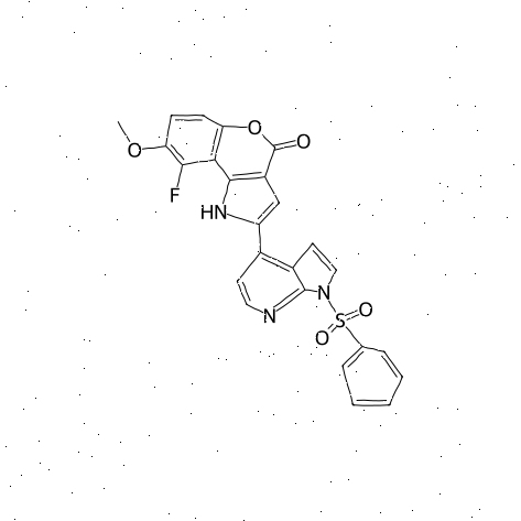 COc1ccc2oc(=O)c3cc(-c4ccnc5c4ccn5S(=O)(=O)c4ccccc4)[nH]c3c2c1F